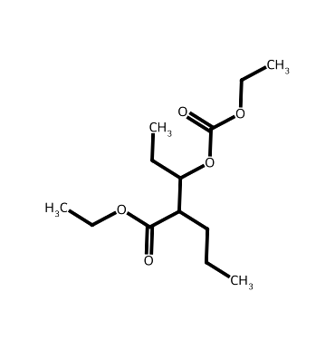 CCCC(C(=O)OCC)C(CC)OC(=O)OCC